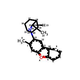 Cc1cc2oc3ccccc3c2cc1N1C2CCC(CC2)[C@@H]1C